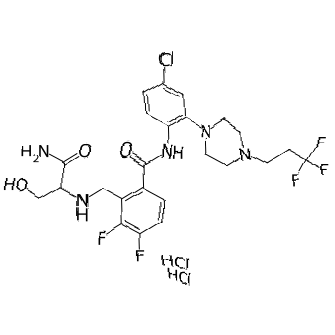 Cl.Cl.NC(=O)C(CO)NCc1c(C(=O)Nc2ccc(Cl)cc2N2CCN(CCC(F)(F)F)CC2)ccc(F)c1F